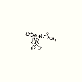 CCOC(=O)C1CCN(C[C@@H]2C[C@@H](SC(c3ccccc3)(c3ccccc3)c3ccccc3)CN2S(=O)(=O)c2ccc3ccccc3c2)CC1